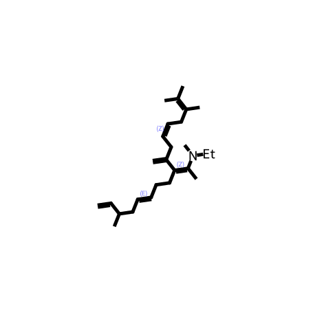 C=CC(C)C/C=C/CC/C(C(=C)C/C=C\CC(C)=C(C)C)=C(\C)N(C)CC